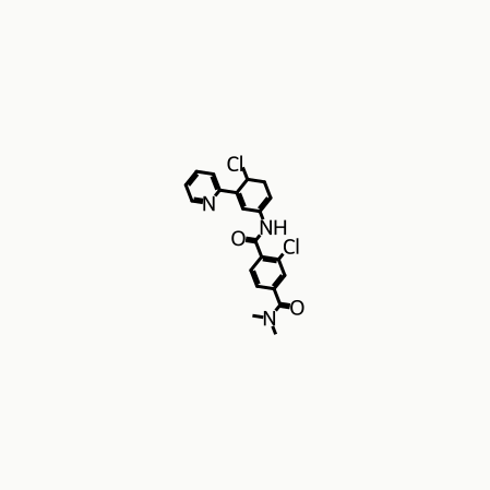 CN(C)C(=O)c1ccc(C(=O)NC2=CCC(Cl)C(c3ccccn3)=C2)c(Cl)c1